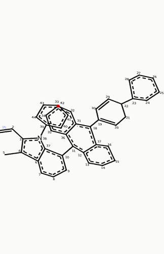 C/C=C\c1c(C)c2cccc(-c3c4ccccc4c(C4=CCC(c5ccccc5)C=C4)c4ccccc34)c2n1-c1ccccc1